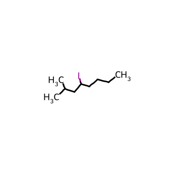 CCCCC(I)CC(C)C